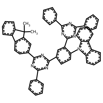 CC1(C)c2ccccc2-c2ccc(-c3nc(-c4ccccc4)nc(-c4ccc(-n5c6ccccc6c6ccccc65)c(-c5nc(-c6ccccc6)nc(-c6ccccc6)n5)c4)n3)cc21